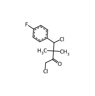 CC(C)(C(=O)CCl)C(Cl)c1ccc(F)cc1